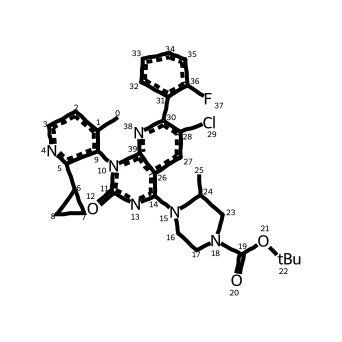 Cc1ccnc(C2CC2)c1-n1c(=O)nc(N2CCN(C(=O)OC(C)(C)C)CC2C)c2cc(Cl)c(-c3ccccc3F)nc21